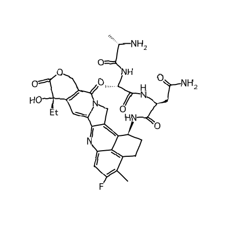 CC[C@@]1(O)C(=O)OCc2c1cc1n(c2=O)Cc2c-1nc1cc(F)c(C)c3c1c2[C@@H](NC(=O)[C@H](CC(N)=O)NC(=O)[C@H](C)NC(=O)[C@H](C)N)CC3